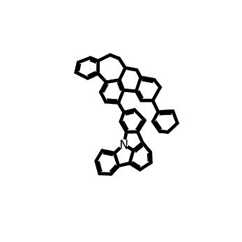 C1=CC(C2C=C3C(=CC2)CC2CCc4ccccc4-c4ccc(-c5ccc6c7cccc8c9ccccc9n(c6c5)c87)c3c42)=CCC1